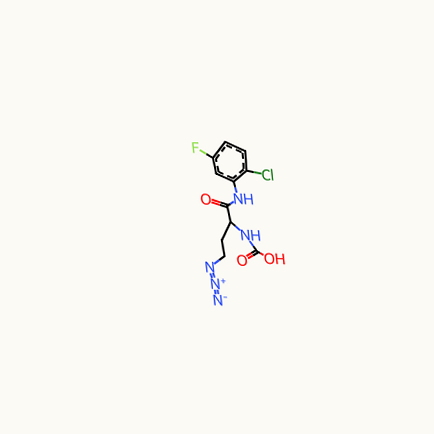 [N-]=[N+]=NCCC(NC(=O)O)C(=O)Nc1cc(F)ccc1Cl